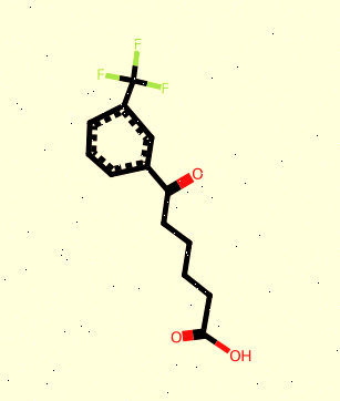 O=C(O)CCCCC(=O)c1cccc(C(F)(F)F)c1